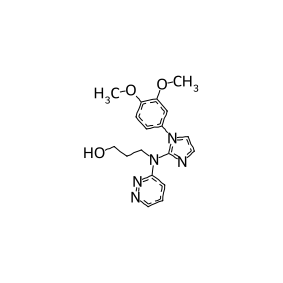 COc1ccc(-n2ccnc2N(CCCO)c2cccnn2)cc1OC